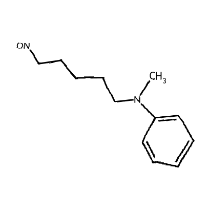 CN(CCCCCN=O)c1ccccc1